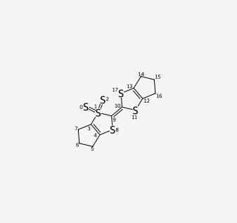 S=S1(=S)C2=C(CCC2)SC1=C1SC2=C(CCC2)S1